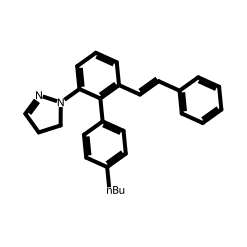 CCCCc1ccc(-c2c(C=Cc3ccccc3)cccc2N2CCC=N2)cc1